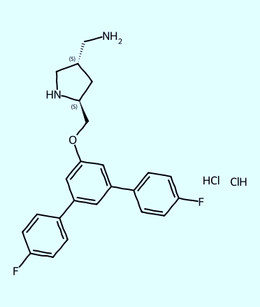 Cl.Cl.NC[C@H]1CN[C@H](COc2cc(-c3ccc(F)cc3)cc(-c3ccc(F)cc3)c2)C1